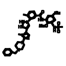 COc1c(NC(=O)c2ccc(C)c(N3C=C(c4cnc(N5CCN(Cc6ccccc6)CC5)n4C)NN3)c2)cc(C(C)(C)C)cc1NS(C)(=O)=O